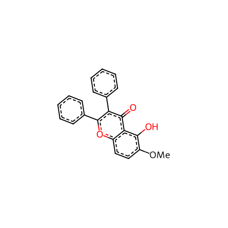 COc1ccc2oc(-c3ccccc3)c(-c3ccccc3)c(=O)c2c1O